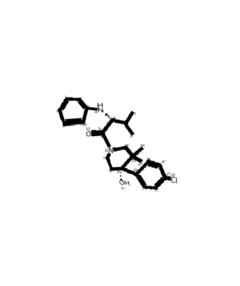 CC(C)[C@@H](Nc1ccccc1)C(=O)N1CC[C@](O)(c2ccc(Cl)cc2)C(C)(C)C1